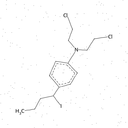 CCCC(I)c1ccc(N(CCCl)CCCl)cc1